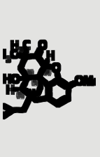 COc1ccc2c3c1O[C@H]1C(=O)C(C)(C)C[C@@]4(O)[C@@H](C2)N(CC2CC2)CC[C@]314